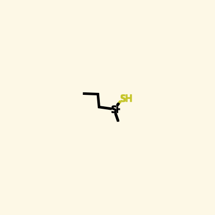 CCC[Si](C)S